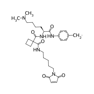 [CH2]c1ccc(NC(=O)[C@H](CCCCN(C)C)NC(=O)C2(C(=O)NCCCCCN3C(=O)C=CC3=O)CCC2)cc1